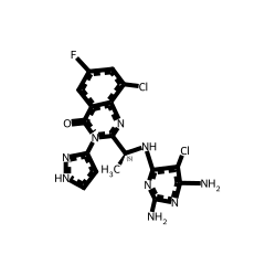 C[C@H](Nc1nc(N)nc(N)c1Cl)c1nc2c(Cl)cc(F)cc2c(=O)n1-c1cc[nH]n1